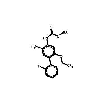 CC(C)(C)OC(=O)Nc1cc(OCC(F)(F)F)c(-c2ccccc2F)cc1N